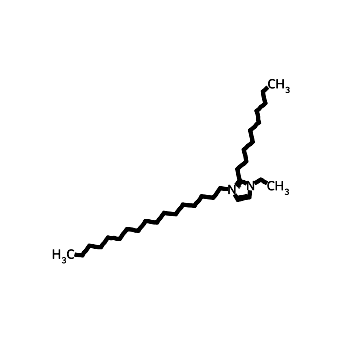 CCCCCCCCCCCCCCCCC[n+]1ccn(CC)c1CCCCCCCCCC